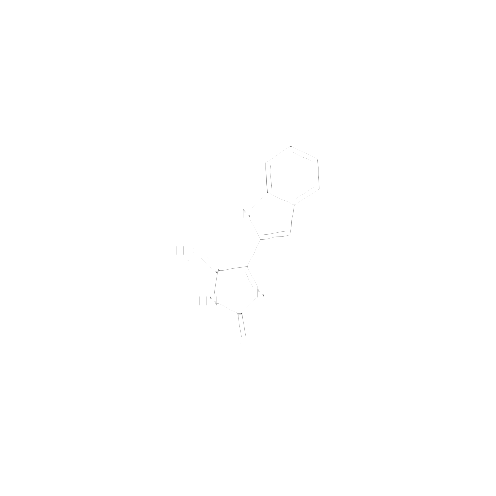 C=C1NC(=O)N=C1c1cc2ccccc2[nH]1